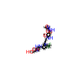 COc1cc(S(=O)(=O)Nc2cc(C)on2)ccc1NCC#Cc1cc2c(NC3CCN(CC(O)CO)CC3)cccc2n1CC(F)(F)F